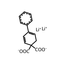 O=C([O-])C1(C(=O)[O-])C=CC(c2ccccc2)=CC1.[Li+].[Li+]